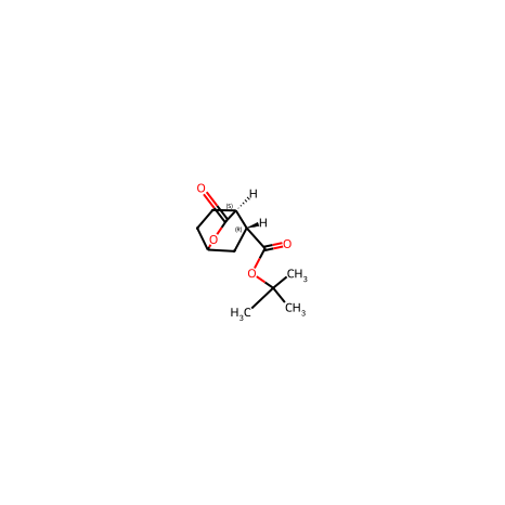 CC(C)(C)OC(=O)[C@@H]1CC2CC[C@@H]1C(=O)O2